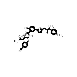 Cc1ccc([C@@H](C)NCc2ccc(-c3ccc(Cl)c(C(=O)N[C@H](Cc4ccc(C#N)cc4)[C@@H](O)CC(C)C)c3)o2)cc1